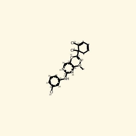 CN1N=C(C2(Cl)CC=CC=C2Cl)Oc2cnc(Nc3cccc(Cl)c3)nc21